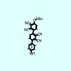 CCCCOc1ccc(-c2ccc(C34CCC(CCC)(CC3)CC4)c(C#N)c2C#N)c(C#N)c1C#N